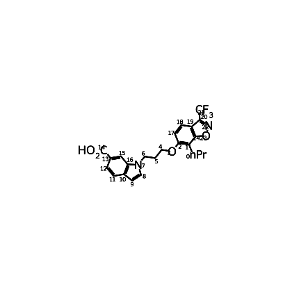 CCCc1c(OCCCn2ccc3ccc(C(=O)O)cc32)ccc2c(C(F)(F)F)noc12